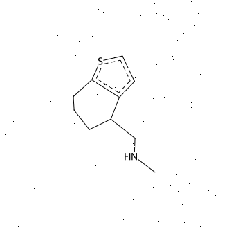 CNCC1CCCc2sccc21